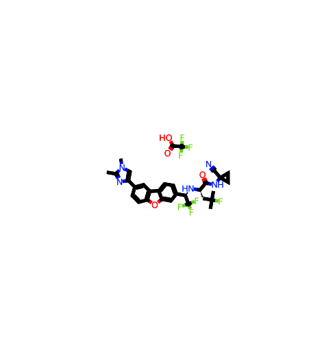 Cc1nc(-c2ccc3oc4cc([C@H](N[C@@H](CC(C)(C)F)C(=O)NC5(C#N)CC5)C(F)(F)F)ccc4c3c2)cn1C.O=C(O)C(F)(F)F